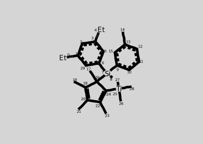 CCc1cc(CC)cc([Si](C)(c2cccc(C)c2)C2(C)C(C)=C(C)C(C)=[C]2[Ti]([CH3])([CH3])[CH3])c1